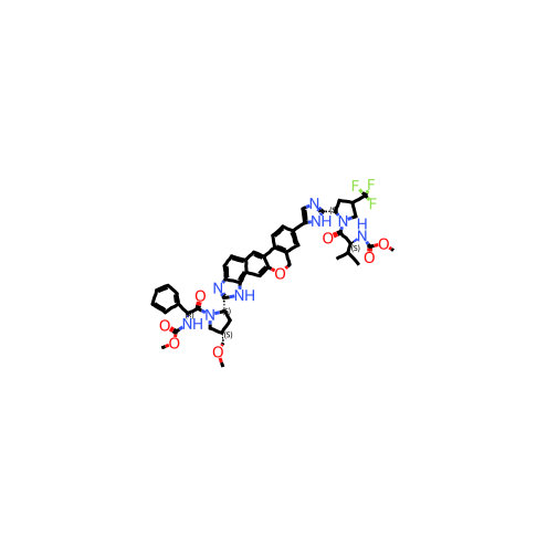 COC[C@H]1C[C@@H](c2nc3ccc4cc5c(cc4c3[nH]2)OCc2cc(-c3cnc([C@@H]4CC(C(F)(F)F)CN4C(=O)[C@@H](NC(=O)OC)C(C)C)[nH]3)ccc2-5)N(C(=O)[C@H](NC(=O)OC)c2ccccc2)C1